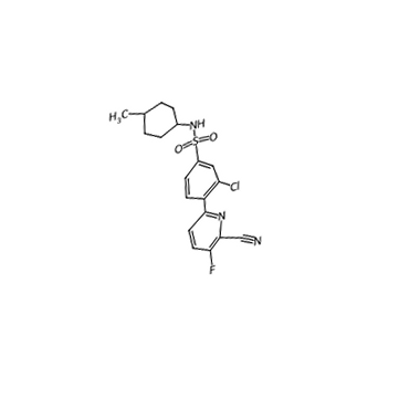 CC1CCC(NS(=O)(=O)c2ccc(-c3ccc(F)c(C#N)n3)c(Cl)c2)CC1